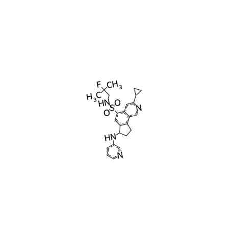 CC(C)(F)CNS(=O)(=O)c1cc2c(c3cnc(C4CC4)cc13)CCC2Nc1cccnc1